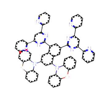 c1ccc(-c2cc(-c3ccccn3)nc(-c3cc(-c4nc(-c5ccccn5)cc(-c5ccccn5)n4)c4cc(N5c6ccccc6Sc6ccccc65)cc(N5c6ccccc6Oc6ccccc65)c4c3)n2)nc1